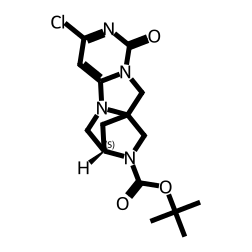 CC(C)(C)OC(=O)N1CC23C[C@H]1CN2c1cc(Cl)nc(=O)n1C3